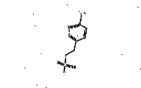 CCCc1ccc(CCS(C)(=N)=O)cn1